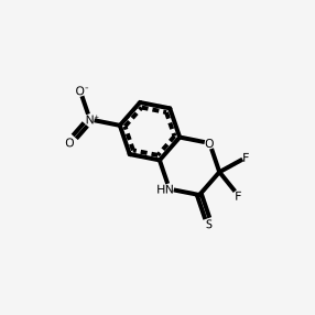 O=[N+]([O-])c1ccc2c(c1)NC(=S)C(F)(F)O2